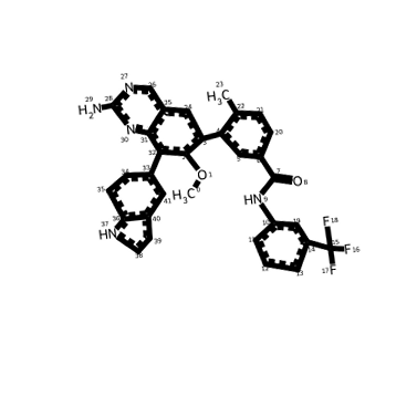 COc1c(-c2cc(C(=O)Nc3cccc(C(F)(F)F)c3)ccc2C)cc2cnc(N)nc2c1-c1ccc2[nH]ccc2c1